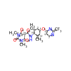 Cc1cc(Oc2ccnc(C(F)(F)F)n2)cc(C)c1NC(=O)C1C(=O)N(C)C(=O)N(C)C1=O